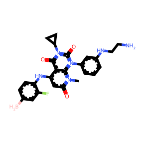 Bc1ccc(Nc2cc(=O)n(C)c3c2c(=O)n(C2CC2)c(=O)n3-c2cccc(NCCN)c2)c(F)c1